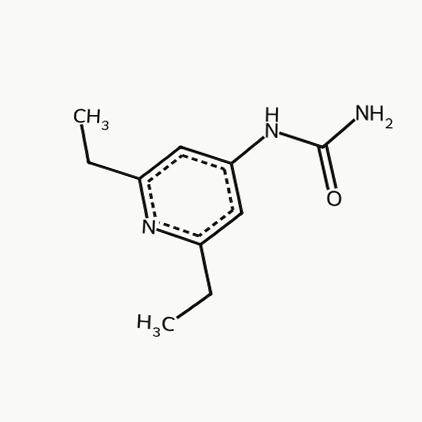 CCc1cc(NC(N)=O)cc(CC)n1